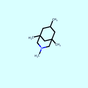 CC1CC2(C)CN(C)CC(C)(C1)C2